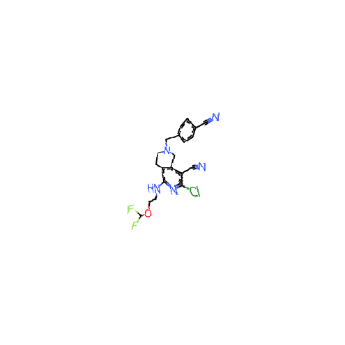 N#Cc1ccc(CN2CCc3c(NCCOC(F)F)nc(Cl)c(C#N)c3C2)cc1